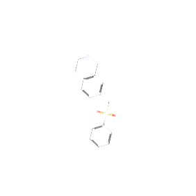 O=S(=O)(Cc1ccc2c(c1)CNCC2)c1ccccc1